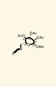 CO[C@H]1O[C@H](CN=C=S)[C@@H](OC(C)=O)[C@H](OC(C)=O)[C@H]1OC(C)=O